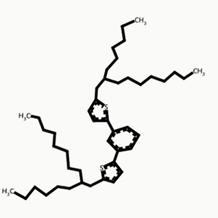 CCCCCCCCC(CCCCCC)Cc1ccc(-c2cccc(-c3ccc(CC(CCCCCC)CCCCCCCC)s3)c2)s1